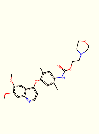 COc1cc2nccc(Oc3cc(C)c(NC(=O)OCCN4CCOCC4)cc3C)c2cc1OC